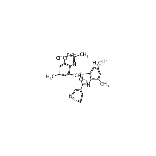 CC(=Nc1c(C)cc(C)cc1Cl)c1cccnc1.C[C]([Fe+2])=Nc1c(C)cc(C)cc1Cl.[Cl-].[Cl-]